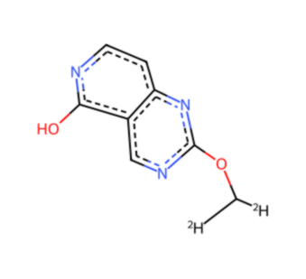 [2H]C([2H])Oc1ncc2c(O)nccc2n1